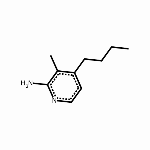 CCCCc1ccnc(N)c1C